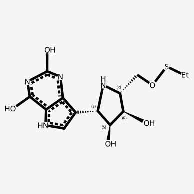 CCSOC[C@H]1N[C@@H](c2c[nH]c3c(O)nc(O)nc23)[C@H](O)[C@@H]1O